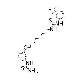 NC(=S)Nc1cccc(OCCCCCCCCNC(=S)Nc2cccc(C(F)(F)F)c2)c1